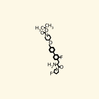 CC(C)OC(=O)N1CCC(OCc2ccc(-c3ccc(C[C@H](N)C(=O)N4CC[C@H](F)C4)c(F)c3)cc2)CC1